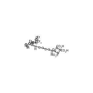 CCOc1ccc(C(=O)N2CCN(c3ccc(-c4cccnc4OCC)cc3CNCCNCCCOCCOCCOCCOCCNC(=O)CN3CCN(CC(=O)O)CCN(CC(=O)O)CCN(CC(=O)O)CC3)[C@H](CC)C2)c(C(F)(F)F)n1